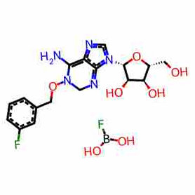 NC1=c2ncn([C@@H]3O[C@H](CO)[C@@H](O)[C@H]3O)c2=NCN1OCc1cccc(F)c1.OB(O)F